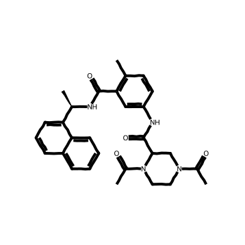 CC(=O)N1CCN(C(C)=O)C(C(=O)Nc2ccc(C)c(C(=O)N[C@H](C)c3cccc4ccccc34)c2)C1